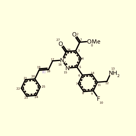 COC(=O)c1cc(-c2ccc(F)c(CN)c2)nn(C/C=C/c2ccccc2)c1=O